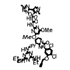 C#CCOc1cc(-n2nc3n(c2=O)CCCC3)c(Cl)cc1Cl.CCNc1nc(Cl)nc(NC(C)C)n1.CCO.COc1cc(OC)nc(NC(=O)NS(=O)(=O)c2c(-c3nnn(C)n3)cnn2C)n1